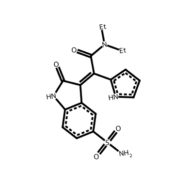 CCN(CC)C(=O)/C(=C1\C(=O)Nc2ccc(S(N)(=O)=O)cc21)c1ccc[nH]1